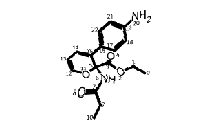 CCOC(=O)[C@]1(NC(=O)CC)OC=CC=C1c1ccc(N)cc1